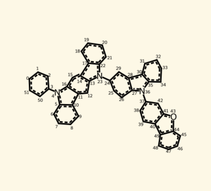 c1ccc(-n2c3ccccc3c3cc4c(cc32)c2ccccc2n4-c2ccc3c(c2)c2ccccc2n3-c2ccc3c(c2)oc2ccccc23)cc1